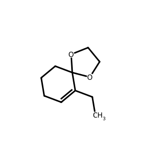 CCC1=CCCCC12OCCO2